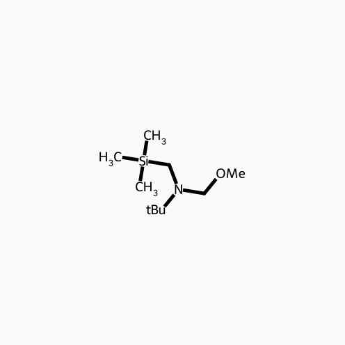 COCN(C[Si](C)(C)C)C(C)(C)C